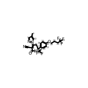 Cc1cnn(C2=C(C#N)C(=O)N[C@@](c3ccc(OCCCC(F)(F)F)cc3)(C(F)(F)F)C2)c1